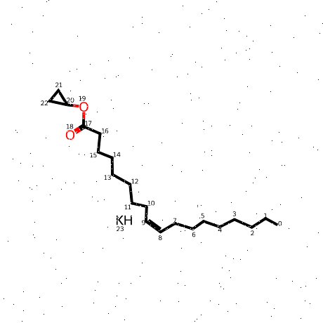 CCCCCCCC/C=C\CCCCCCCC(=O)OC1CC1.[KH]